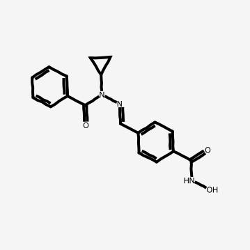 O=C(NO)c1ccc(C=NN(C(=O)c2ccccc2)C2CC2)cc1